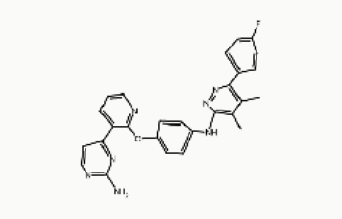 Cc1c(Nc2ccc(Oc3ncccc3-c3ccnc(N)n3)cc2)nnc(-c2ccc(F)cc2)c1C